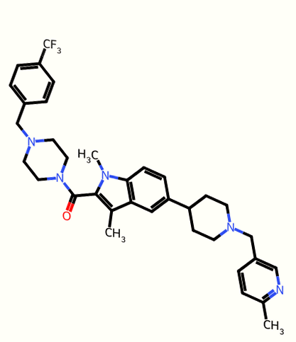 Cc1ccc(CN2CCC(c3ccc4c(c3)c(C)c(C(=O)N3CCN(Cc5ccc(C(F)(F)F)cc5)CC3)n4C)CC2)cn1